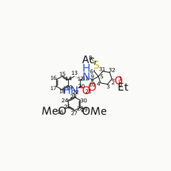 CCOC1CCC(CSC(C)=O)(C(=O)N[C@@H](Cc2ccccc2)C(=O)Nc2cc(OC)cc(OC)c2)CC1